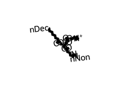 CCCCCCCCCCCCCCCCCC(=O)OC[C@H](COP(=O)([O-])OCC[N+](C)(C)C)OC(=O)CCCC1(CCCCCCCCC)N=N1